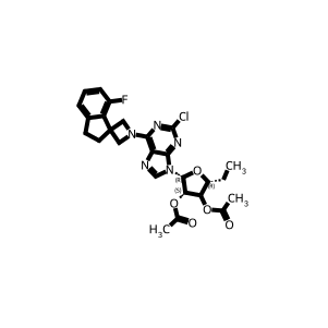 CC[C@H]1O[C@@H](n2cnc3c(N4CC5(CCc6cccc(F)c65)C4)nc(Cl)nc32)[C@@H](OC(C)=O)C1OC(C)=O